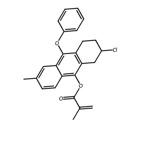 C=C(C)C(=O)Oc1c2c(c(Oc3ccccc3)c3cc(C)ccc13)CCC(Cl)C2